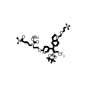 CN(C)C(=O)/C=C/CN(CCOc1ccc(/C(=C(/CC(F)(F)F)B2OC(C)(C)C(C)(C)O2)c2ccc3c(ccn3COCC[Si](C)(C)C)c2)cn1)C(=O)OC(C)(C)C